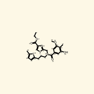 CCOC(=O)c1csc(CN(CCCc2ccc(C)s2)C(=O)c2cc(O)c(C)c(OC)c2)n1